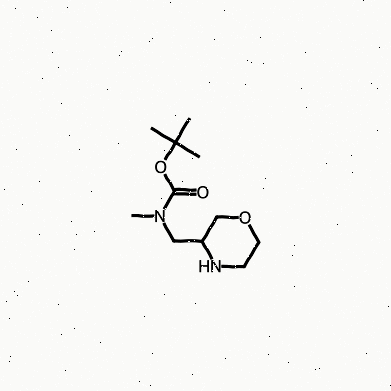 CN(CC1COCCN1)C(=O)OC(C)(C)C